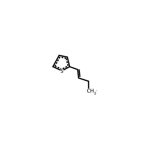 [CH2]C/C=C/c1cccs1